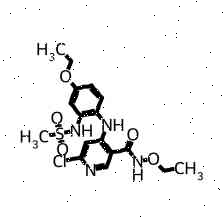 CCONC(=O)c1cnc(Cl)cc1Nc1ccc(OCC)cc1NS(C)(=O)=O